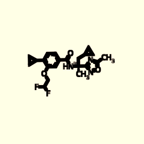 Cc1nc([C@@](C)(CC2CC2)NC(=O)c2ccc(C3CC3)c(OCC(F)F)c2)no1